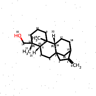 C=C1CC23CC[C@H]4C(C)(CCC[C@@]4(C)CO)[C@@H]2CCC1C3